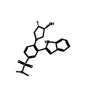 C[C@H]1CN(c2ccc(S(=O)(=O)N(C)C)cc2-c2cc3ccccc3[nH]2)C[C@@H]1O